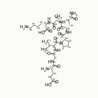 CC(C)[C@H](NC(=O)CNC(=O)[C@@H](N)CCC(=O)O)C(=O)N1CCC[C@H]1C(=O)N[C@@H](CCC(N)=O)C(=O)N[C@@H](C)C(=O)N[C@@H](CCCCN)C(=O)O